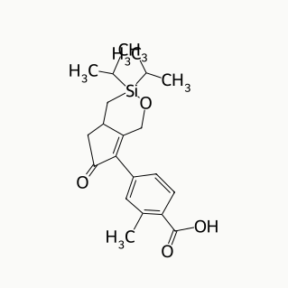 Cc1cc(C2=C3CO[Si](C(C)C)(C(C)C)CC3CC2=O)ccc1C(=O)O